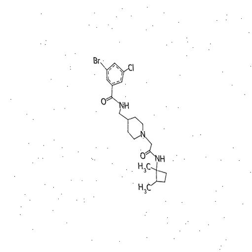 CC1CCC1(C)NC(=O)CN1CCC(CNC(=O)c2cc(Cl)cc(Br)c2)CC1